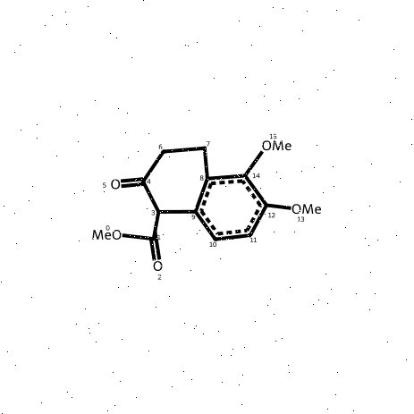 COC(=O)C1C(=O)CCc2c1ccc(OC)c2OC